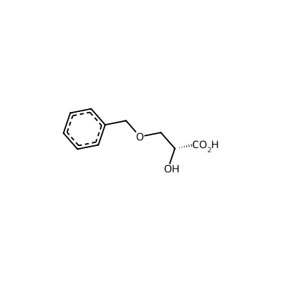 O=C(O)[C@H](O)COCc1ccccc1